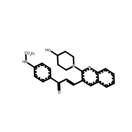 CCOC(=O)Nc1ccc(C(=O)C=Cc2cc3ccccc3nc2N2CCC(O)CC2)cc1